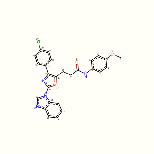 COc1ccc(NC(=O)CCc2oc(-n3cnc4ccccc43)nc2-c2ccc(Cl)cc2)cc1